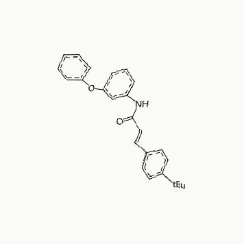 CC(C)(C)c1ccc(/C=C/C(=O)Nc2cccc(Oc3ccccc3)c2)cc1